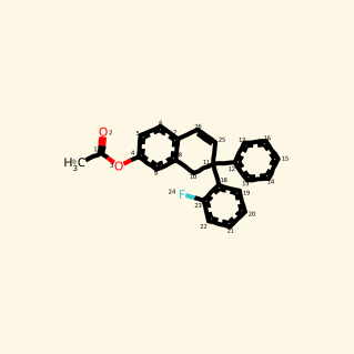 CC(=O)Oc1ccc2c(c1)CC(c1ccccc1)(c1ccccc1F)C=C2